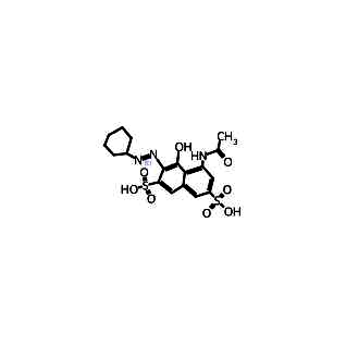 CC(=O)Nc1cc(S(=O)(=O)O)cc2cc(S(=O)(=O)O)c(/N=N/C3CCCCC3)c(O)c12